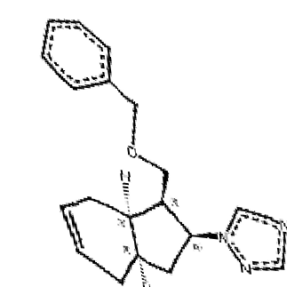 C1=CC[C@@H]2[C@H](C1)C[C@H](n1cncn1)[C@@H]2COCc1ccccc1